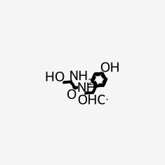 N[C@@H](CO)C(=O)N[C@H]([C]=O)Cc1ccc(O)cc1